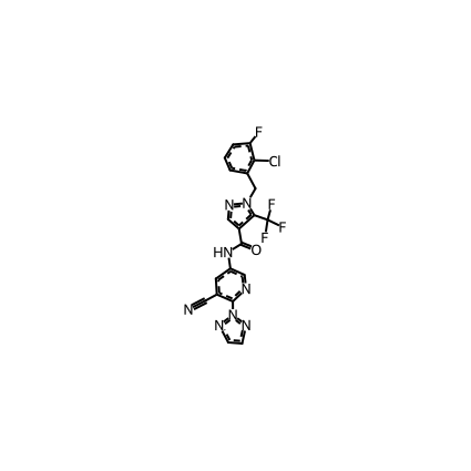 N#Cc1cc(NC(=O)c2cnn(Cc3cccc(F)c3Cl)c2C(F)(F)F)cnc1-n1nccn1